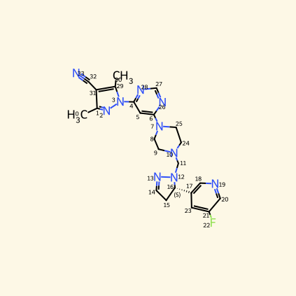 Cc1nn(-c2cc(N3CCN(CN4N=CC[C@H]4c4cncc(F)c4)CC3)ncn2)c(C)c1C#N